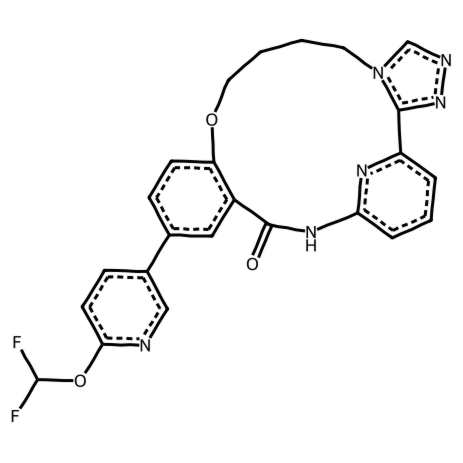 O=C1Nc2cccc(n2)-c2nncn2CCCCOc2ccc(-c3ccc(OC(F)F)nc3)cc21